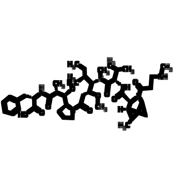 CC[C@H](C)[C@@H]([C@@H](CC(=O)N1CCC[C@H]1[C@H](OC)[C@@H](C)C(=O)N[C@@H](Cc1ccccc1)C(=O)O)OC)N(C)C(=O)[C@@H](NC(=O)[C@@H]1[C@@H]2[C@H](C)C23CC3N1C(=O)CCNC)C(C)C